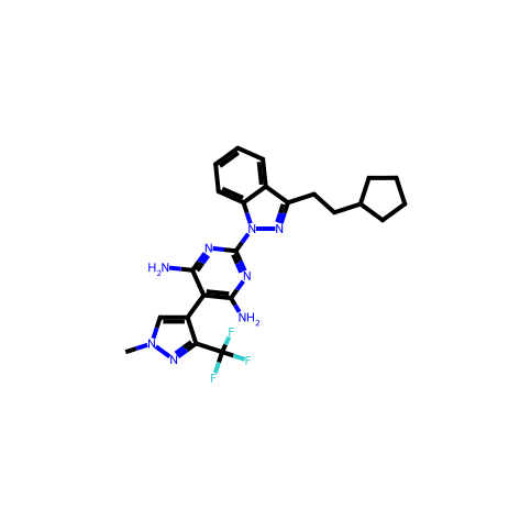 Cn1cc(-c2c(N)nc(-n3nc(CCC4CCCC4)c4ccccc43)nc2N)c(C(F)(F)F)n1